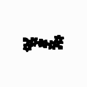 CCn1c2ccccc2c2cc(-c3nc4sc(-c5ccc6c(c5)c5ccccc5n6CC)nc4s3)ccc21